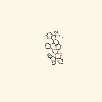 CC1(C)c2ccccc2-c2c(-c3ccccc3-c3cc4c(c5ccccc35)Oc3ccccc3C43c4ccccc4-c4ccccc43)cccc21